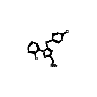 CNCc1cc(Sc2ccc(Cl)nc2)n(-c2ccccc2Cl)n1